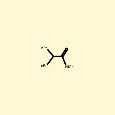 C=C(NC)C(CCC)CCCC